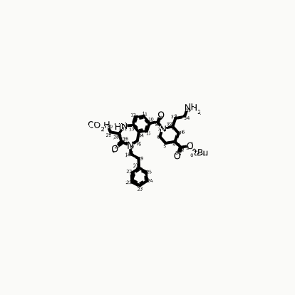 CC(C)(C)OC(=O)C1CCN(C(=O)c2ccc3c(c2)CN(CCc2ccccc2)C(=O)C(CC(=O)O)N3)C(CCN)C1